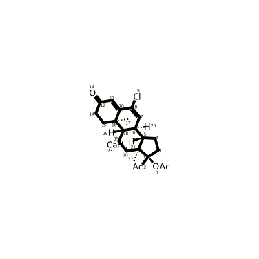 CC(=O)O[C@]1(C(C)=O)CC[C@H]2[C@@H]3C=C(Cl)C4=CC(=O)CC[C@]4(C)[C@H]3CC[C@@]21C.[CaH2]